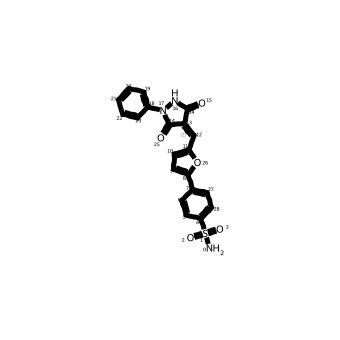 NS(=O)(=O)c1ccc(-c2ccc(/C=C3/C(=O)NN(c4ccccc4)C3=O)o2)cc1